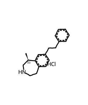 C[C@@H]1CNCCc2ccc(CCc3ccccc3)cc21.Cl